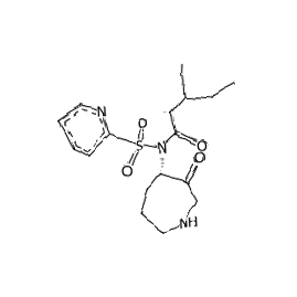 CCC(C)[CH]C(=O)N([C@H]1CCCNCC1=O)S(=O)(=O)c1ccccn1